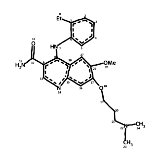 CCc1ccccc1Nc1c(C(N)=O)cnc2cc(OCCCN(C)C)c(OC)cc12